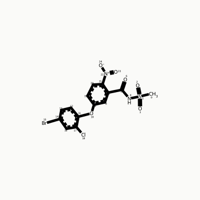 CS(=O)(=O)NC(=O)c1cc(Oc2ccc(Br)cc2Cl)ccc1[N+](=O)[O-]